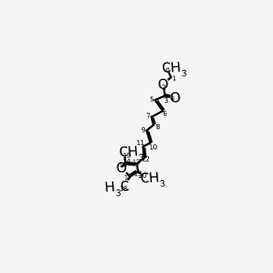 CCOC(=O)C=CC=CC=CC=Cc1c(C)oc(C)c1C